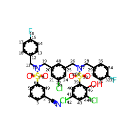 N#Cc1cccc(S(=O)(=O)N(Cc2ccc(F)cc2)Cc2cc(Cl)cc(CN(Cc3ccc(F)cc3)S(=O)(=O)c3cc(Cl)cc(Cl)c3O)c2)c1